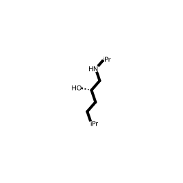 CC(C)CC[C@H](O)CNC(C)C